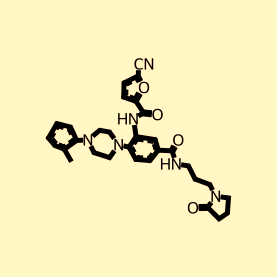 Cc1ccccc1N1CCN(c2ccc(C(=O)NCCCN3CCCC3=O)cc2NC(=O)c2ccc(C#N)o2)CC1